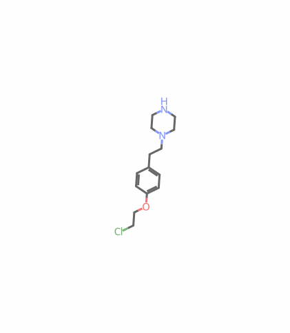 ClCCOc1ccc(CCN2CCNCC2)cc1